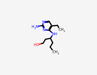 CCCC(CCO)Nc1nc(N)ncc1CC